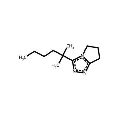 CCCCC(C)(C)c1nnc2n1CCC2